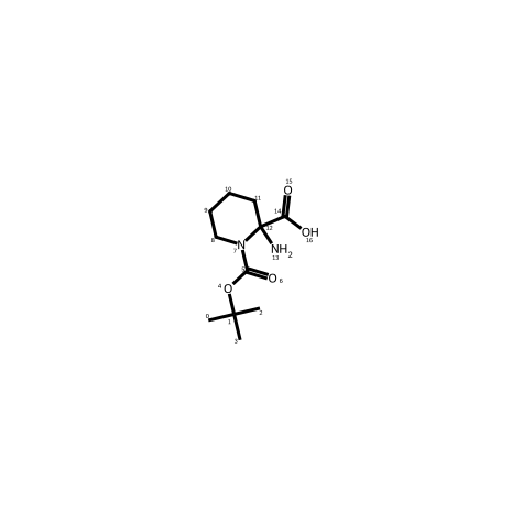 CC(C)(C)OC(=O)N1CCCCC1(N)C(=O)O